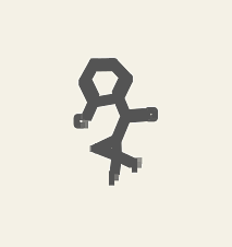 O=C(c1ccccc1Cl)C1CC1(F)F